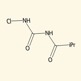 CC(C)C(=O)NC(=O)NCl